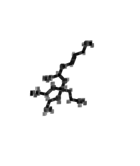 CCC=COC(C)O[Si](CCC)(OCC)OCC